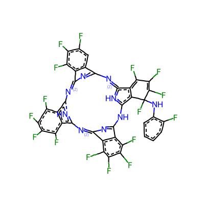 FC1=C(F)C(F)(Nc2ccccc2F)c2c3[nH]/c(c2=C1F)=N\C1=NC(=N\c2[nH]c(c4c(F)c(F)c(F)c(F)c24)/N=C2\N=C(N3)c3c(F)c(F)c(F)c(F)c32)/c2c1cc(F)c(F)c2F